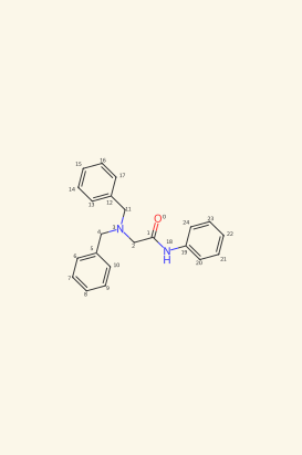 O=C(CN(Cc1ccccc1)Cc1ccccc1)Nc1ccccc1